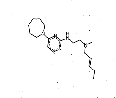 CC/C=C/CN(C)CCNc1nccc(N2CCCCCC2)n1